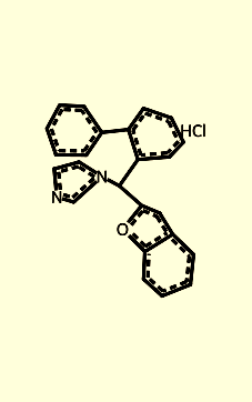 Cl.c1ccc(-c2ccccc2C(c2cc3ccccc3o2)n2ccnc2)cc1